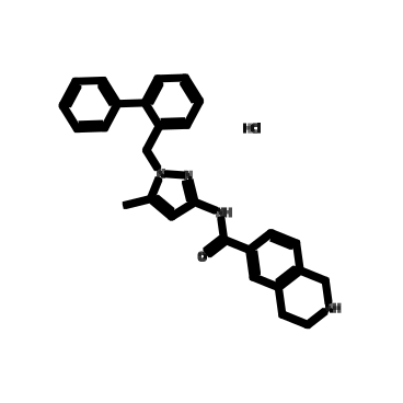 Cc1cc(NC(=O)c2ccc3c(c2)CCNC3)nn1Cc1ccccc1-c1ccccc1.Cl